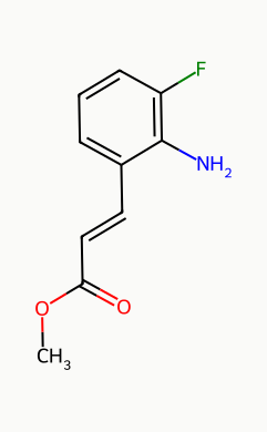 COC(=O)C=Cc1cccc(F)c1N